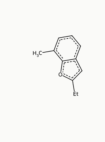 CCc1cc2cccc(C)c2o1